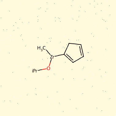 CC(C)[O][Zr]([CH3])[C]1=CC=CC1